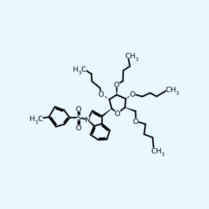 CCCCOC[C@H]1O[C@@H](c2cn(S(=O)(=O)c3ccc(C)cc3)c3ccccc23)[C@H](OCCCC)[C@@H](OCCCC)[C@@H]1OCCCC